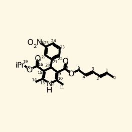 C/C=C/C=C/COC(=O)C1=C(C)NC(C)=C(C(=O)OC(C)C)C1c1cccc([N+](=O)[O-])c1